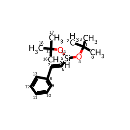 CC(C)(C)O[SiH](C=Cc1ccccc1)OC(C)(C)C